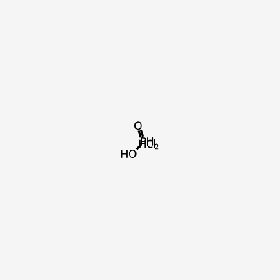 Cl.O=[PH2]O